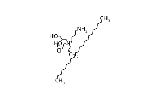 C=CC[N+](C)(CCCCN)CC(O)CO.CCCCCCCCCCCCCCCCCCCCCC.[Cl-]